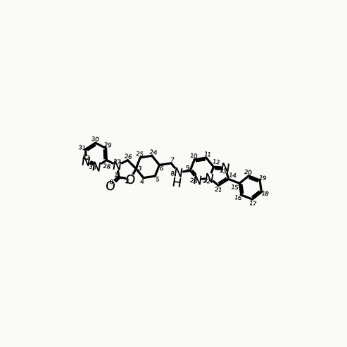 O=C1OC2(CCC(CNc3ccc4nc(-c5ccccc5)cn4n3)CC2)CN1c1cccnn1